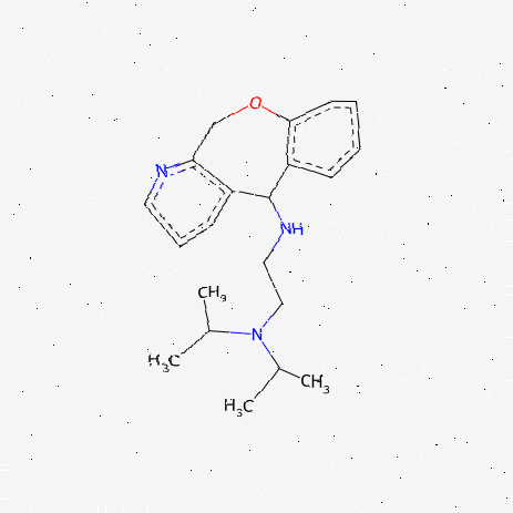 CC(C)N(CCNC1c2ccccc2OCc2ncccc21)C(C)C